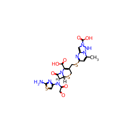 CC1=CC(SCC2=C(C(=O)O)N3C(=O)[C@@H](N(C(=O)C=O)c4csc(N)n4)[C@H]3SC2)=NC2=CN(C(=O)O)NN12